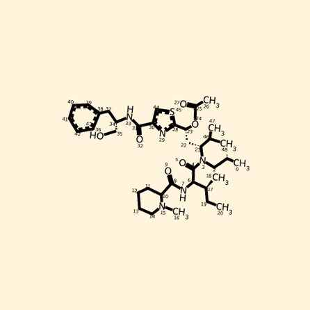 CCCN(C(=O)C(NC(=O)C1CCCCN1C)[C@@H](C)CC)[C@H](C[C@@H](OC(C)=O)c1nc(C(=O)N[C@H](CO)Cc2ccccc2)cs1)C(C)C